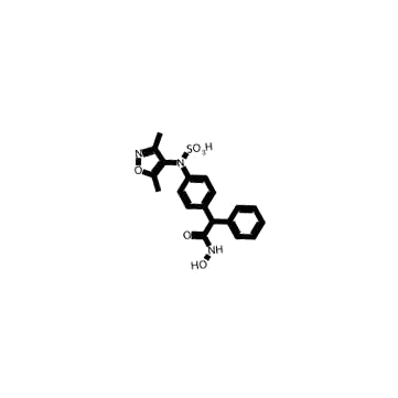 Cc1noc(C)c1N(c1ccc(C(C(=O)NO)c2ccccc2)cc1)S(=O)(=O)O